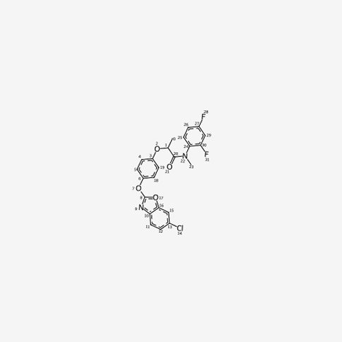 CC(Oc1ccc(Oc2nc3ccc(Cl)cc3o2)cc1)C(=O)N(C)c1ccc(F)cc1F